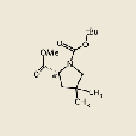 COC(=O)[C@H]1CC(C)(C)CN1C(=O)OC(C)(C)C